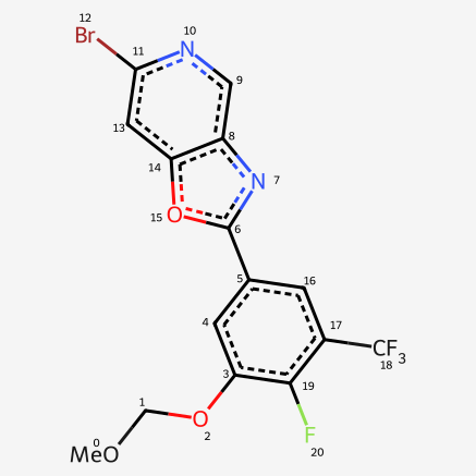 COCOc1cc(-c2nc3cnc(Br)cc3o2)cc(C(F)(F)F)c1F